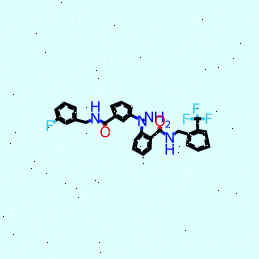 NN(c1cccc(C(=O)NCc2cccc(F)c2)c1)c1cc[c]cc1C(=O)NCc1ccccc1C(F)(F)F